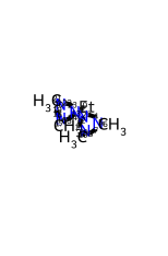 CCC(N1CCN(C)CCN(C)CC1)N1CCN(C)CCN(C)CC1